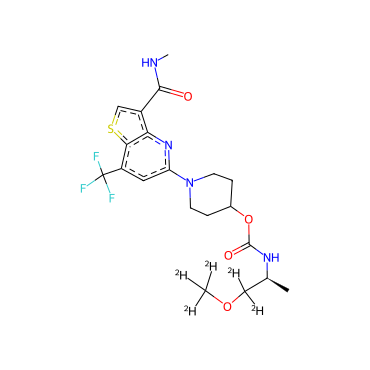 [2H]C([2H])([2H])OC([2H])([2H])[C@H](C)NC(=O)OC1CCN(c2cc(C(F)(F)F)c3scc(C(=O)NC)c3n2)CC1